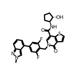 Cn1cc2c(-c3cc(F)c(Cn4cc(C(=O)N[C@H]5CCC[C@@H]5O)c5sccc5c4=O)c(F)c3)cccc2n1